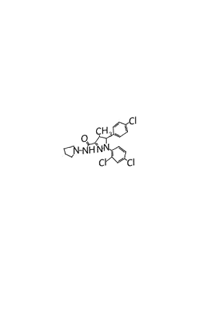 CC1C(C(=O)NN2CCCC2)=NN(c2ccc(Cl)cc2Cl)C1c1ccc(Cl)cc1